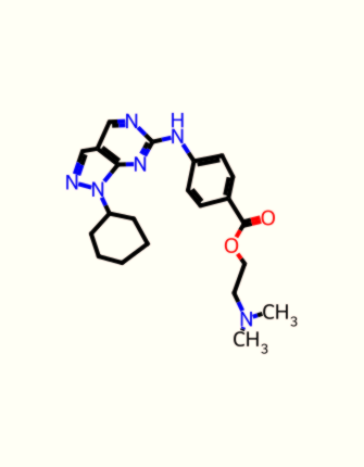 CN(C)CCOC(=O)c1ccc(Nc2ncc3cnn(C4CCCCC4)c3n2)cc1